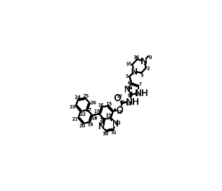 CN1CCN(Cc2c[nH]c(NC(=O)Oc3ccc(-c4cccc5ccccc45)c4nccnc34)n2)CC1